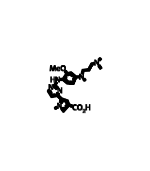 COc1cc(N(C)CCCN(C)C)ccc1Nc1nccc(-c2cc(C(=O)O)cn2C)n1